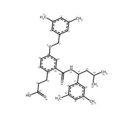 Cc1cc(C)cc(COc2ccc(CCC(=O)O)c(C(=O)NC(CC(C)C)c3cc(C)cc(C)c3)c2)c1